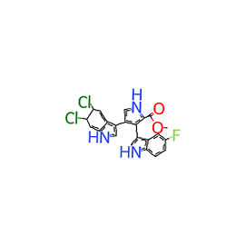 COC(=O)c1[nH]cc(-c2c[nH]c3c2=CC(Cl)C(Cl)C=3)c1-c1c[nH]c2ccc(F)cc12